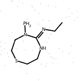 CC/N=C1\NCCSCCN1P